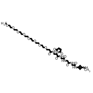 CNC12CC(NC(=O)CNC(=O)CNC(=O)CNC(=O)C(CNC(=O)CCOCCOCCOCCOCCOCCOCCOCCOC)N3C(=O)C=CC3=O)(C1)C2